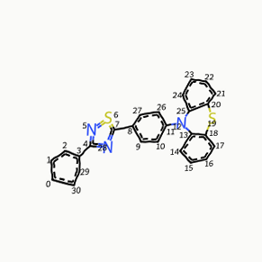 c1ccc(-c2nsc(-c3ccc(N4c5ccccc5Sc5ccccc54)cc3)n2)cc1